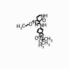 CCCOCn1nc(Nc2ccc3c(c2)CN(C(C)(C)C)[S+]3[O-])c2c(=O)[nH]ccc21